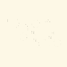 COC(=O)CNc1ccc(C#N)cc1N=C1SC(=C2Sc3ccccc3N2C)C(=O)N1Cc1ccccc1